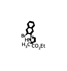 CCOC(=O)C1(C)C=CN(c2cc3ccccc3cc2Br)N1